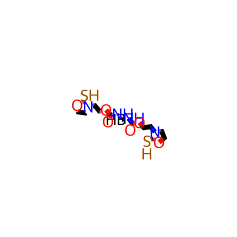 O=C(NBNC(=O)OCCN1CCOC1S)OCCN1CCOC1S